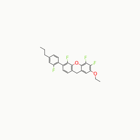 CCCc1ccc(-c2ccc3c(c2F)Oc2c(cc(OCC)c(F)c2F)C3)c(F)c1